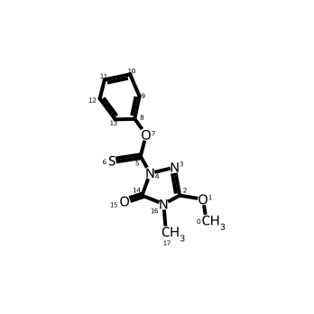 COc1nn(C(=S)Oc2ccccc2)c(=O)n1C